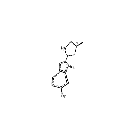 C[C@@H]1CNC(c2cc3ccc(Br)cc3[nH]2)C1